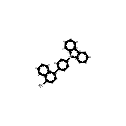 Cc1ccc(-c2ccc(-n3c4ccccc4c4ccccc43)cc2)c2ccccc12